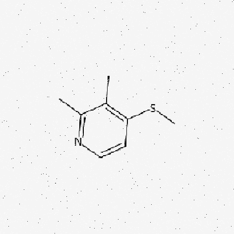 CSc1ccnc(C)c1C